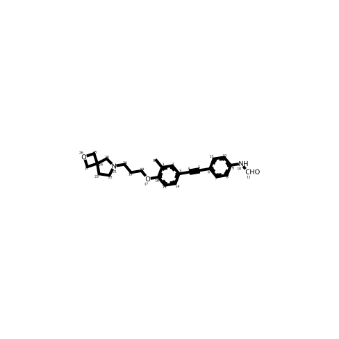 Cc1cc(C#Cc2ccc(NC=O)cc2)ccc1OCCCN1CCC2(COC2)C1